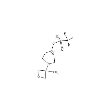 CC1(N2CC=C(OS(=O)(=O)C(F)(F)F)CC2)COC1